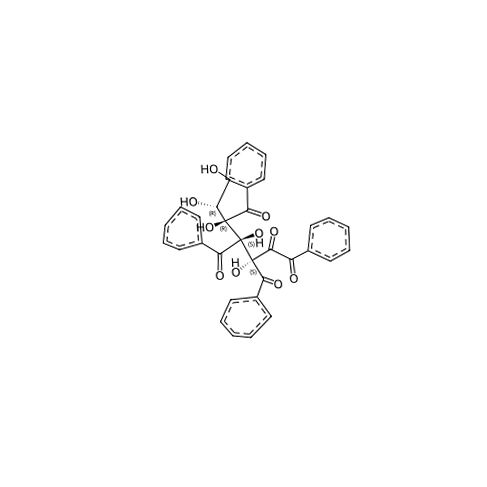 O=C(C(=O)[C@@](O)(C(=O)c1ccccc1)[C@](O)(C(=O)c1ccccc1)[C@@](O)(C(=O)c1ccccc1)[C@H](O)CO)c1ccccc1